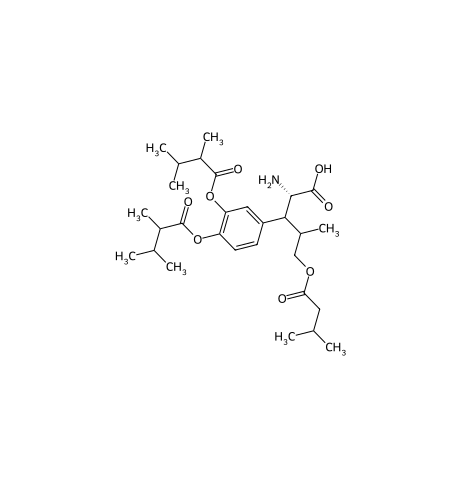 CC(C)CC(=O)OCC(C)C(c1ccc(OC(=O)C(C)C(C)C)c(OC(=O)C(C)C(C)C)c1)[C@H](N)C(=O)O